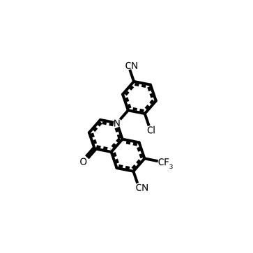 N#Cc1ccc(Cl)c(-n2ccc(=O)c3cc(C#N)c(C(F)(F)F)cc32)c1